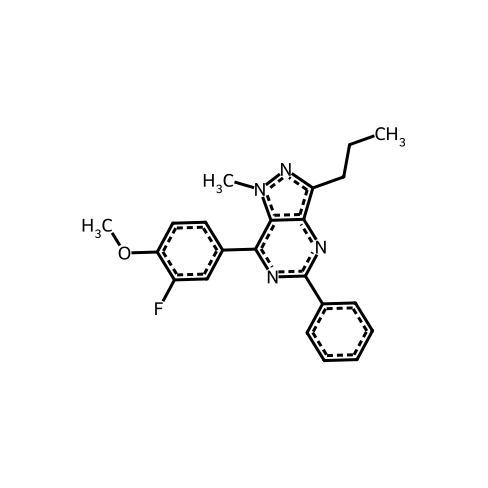 CCCc1nn(C)c2c(-c3ccc(OC)c(F)c3)nc(-c3ccccc3)nc12